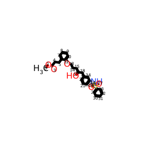 COC(=O)CCc1ccccc1OCCCC(O)Cc1cccc(NS(=O)(=O)c2ccccc2)c1